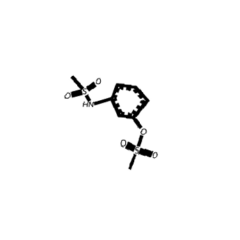 CS(=O)(=O)Nc1cccc(OS(C)(=O)=O)c1